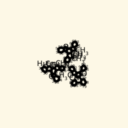 CC1(C)c2cc(N(c3ccc4c(c3)C(C)(C)c3c5c(c6oc7ccccc7c6c3-4)-c3ccccc3C5(C)C)c3ccc4c(c3)C(C)(C)c3c5c(c6oc7ccccc7c6c3-4)-c3ccccc3C5(C)C)ccc2-c2c1cc(-c1ccccc1-c1ccccc1)c1oc3ccccc3c21